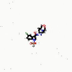 CC(C)S(=O)(=O)n1cc(C(=O)NC2C[C@H]3COC[C@@H](C2)N3C)c2cc(F)ccc21